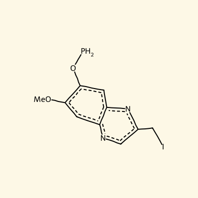 COc1cc2ncc(CI)nc2cc1OP